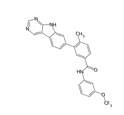 Cc1ccc(C(=O)Nc2cccc(OC(F)(F)F)c2)cc1-c1ccc2c(c1)[nH]c1ncncc12